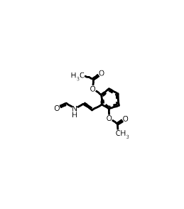 CC(=O)Oc1cccc(OC(C)=O)c1/C=C/NC=O